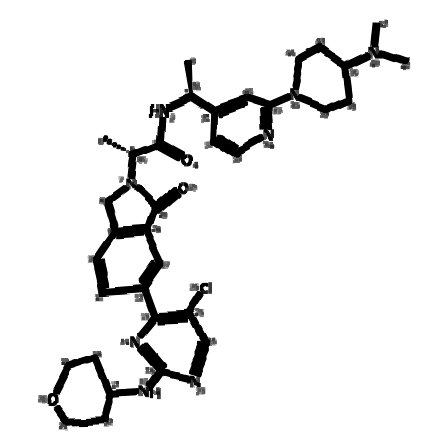 C[C@H](NC(=O)[C@@H](C)N1Cc2ccc(-c3nc(NC4CCOCC4)ncc3Cl)cc2C1=O)c1ccnc(N2CCC(N(C)C)CC2)c1